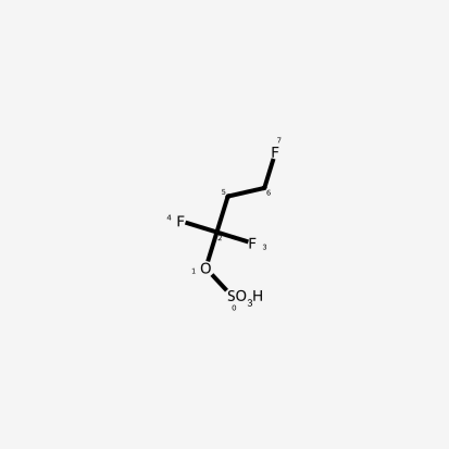 O=S(=O)(O)OC(F)(F)CCF